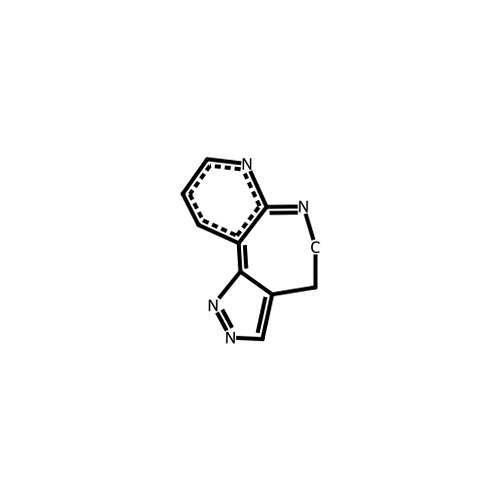 C1=C2CCN=c3ncccc3=C2N=N1